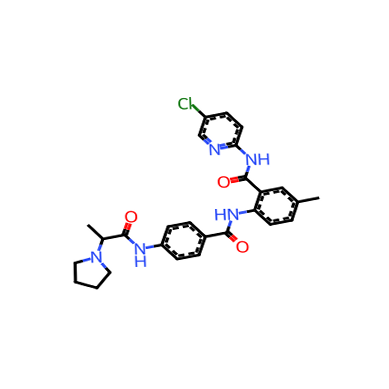 Cc1ccc(NC(=O)c2ccc(NC(=O)C(C)N3CCCC3)cc2)c(C(=O)Nc2ccc(Cl)cn2)c1